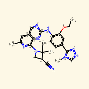 CCOc1cc(-c2nncn2C)ccc1Nc1ncc2cc(C)nc(N3CC(C#N)C3(C)C)c2n1